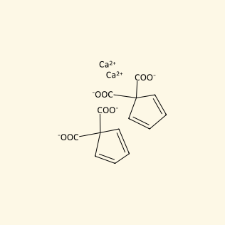 O=C([O-])C1(C(=O)[O-])C=CC=C1.O=C([O-])C1(C(=O)[O-])C=CC=C1.[Ca+2].[Ca+2]